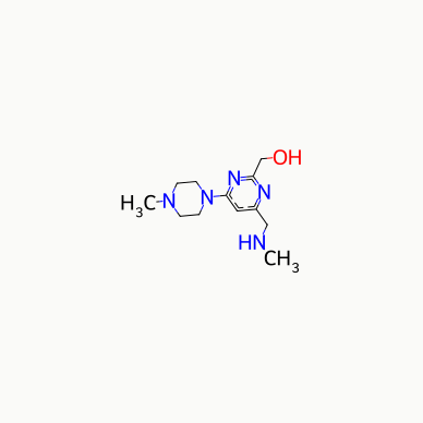 CNCc1cc(N2CCN(C)CC2)nc(CO)n1